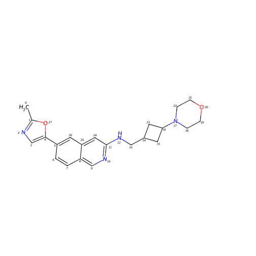 Cc1ncc(-c2ccc3cnc(NCC4CC(N5CCOCC5)C4)cc3c2)o1